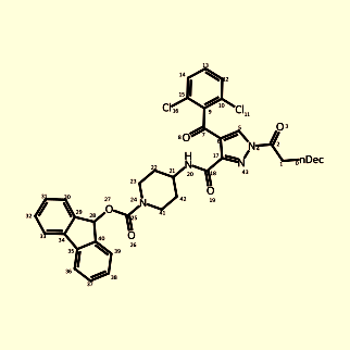 CCCCCCCCCCCC(=O)n1cc(C(=O)c2c(Cl)cccc2Cl)c(C(=O)NC2CCN(C(=O)OC3c4ccccc4-c4ccccc43)CC2)n1